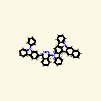 c1ccc(-n2c3ccccc3c3ccc(-c4nnc(-n5c6ccccc6c6c7c8cc9ccccc9cc8n8c9ccccc9c(cc65)c78)c5ccccc45)cc32)cc1